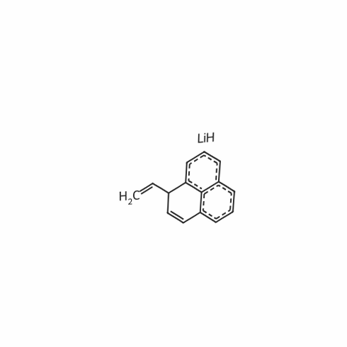 C=CC1C=Cc2cccc3cccc1c23.[LiH]